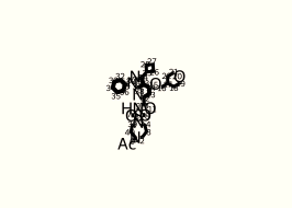 CC(=O)N1CCCN(S(=O)(=O)NC(=O)c2cc(OCC3CCOCC3)c3c(C4CCC4)nn(-c4ccccc4)c3n2)CC1